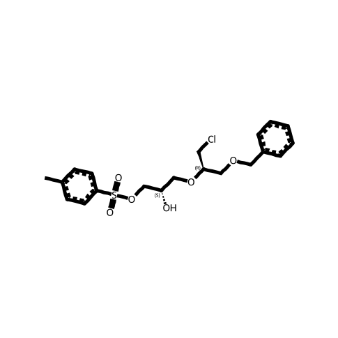 Cc1ccc(S(=O)(=O)OC[C@@H](O)CO[C@@H](CCl)COCc2ccccc2)cc1